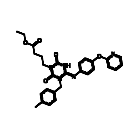 CCOC(=O)CCCn1c(=O)[nH]/c(=N\c2ccc(Oc3ccccn3)cc2)n(Cc2ccc(C)cc2)c1=O